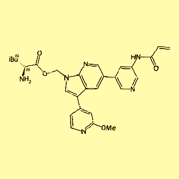 C=CC(=O)Nc1cncc(-c2cnc3c(c2)c(-c2ccnc(OC)c2)cn3COC(=O)[C@@H](N)[C@@H](C)CC)c1